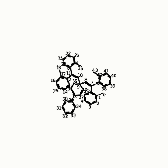 Cc1ccccc1C(=CC1(C=C(c2ccccc2C)c2ccccc2C)C=CC(c2ccccc2)=CC1)c1ccccc1C